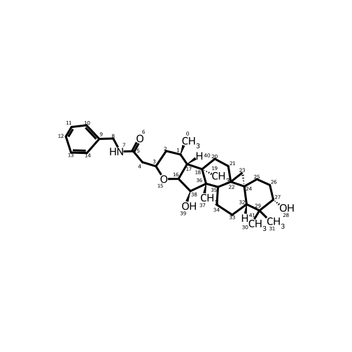 C[C@@H]1CC(CC(=O)NCc2ccccc2)OC2[C@H]1[C@@]1(C)CCC34C[C@@]35CC[C@H](O)C(C)(C)[C@@H]5CCC4[C@]1(C)[C@H]2O